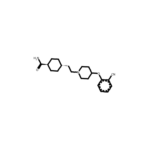 N#Cc1ccccc1OC1CCN(CC[C@H]2CC[C@H](C(N)=O)CC2)CC1